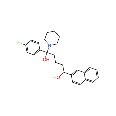 OC(CCCC(O)(c1ccc(F)cc1)N1CCCCC1)c1ccc2ccccc2c1